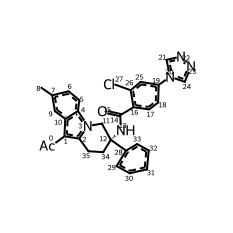 CC(=O)c1c2n(c3ccc(C)cc13)C[C@@](NC(=O)c1ccc(-n3cnnc3)cc1Cl)(c1ccccc1)CC2